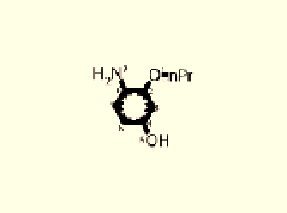 [CH2]CCOc1cc(O)ccc1N